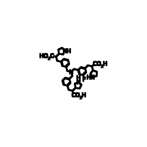 O=C(O)C(Cc1cccc(CN(Cc2cccc(CC(C(=O)O)C3CCNC3)c2)Cc2cc(F)cc(CC(C(=O)O)C3CCNC3)c2)c1)C1CCNC1